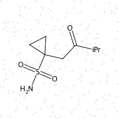 CC(C)C(=O)CC1(S(N)(=O)=O)CC1